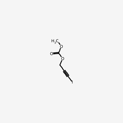 COC(=O)OCC#CI